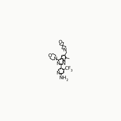 Cc1c(CN2CC3(COC3)C2)cc2c(N3CCOCC3)nc(-c3cnc(N)cc3C(F)(F)F)nn12